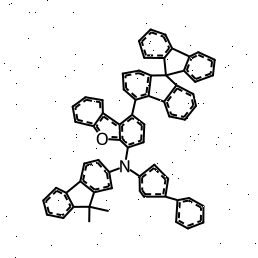 CC1(C)c2ccccc2-c2ccc(N(c3ccc(-c4ccccc4)cc3)c3ccc(-c4cccc5c4-c4ccccc4C54c5ccccc5-c5ccccc54)c4c3oc3ccccc34)cc21